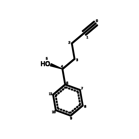 C#CCC[C@H](O)c1ccccc1